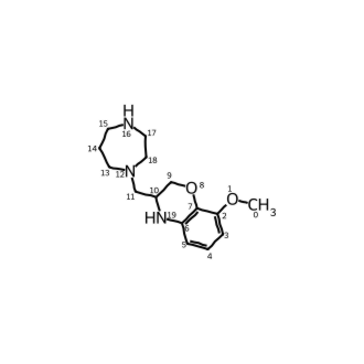 COc1cccc2c1OCC(CN1CCCNCC1)N2